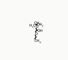 CCCCOCC(O)COC(C)(C)C